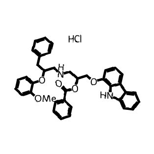 COc1ccccc1OC(CNCC(COc1cccc2c1[nH]c1ccccc12)OC(=O)c1ccccc1)Cc1ccccc1.Cl